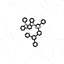 c1ccc(-c2cc(-c3ccccc3)cc(-c3cccc(-c4nc(-c5ccccc5)cc(-n5c6ccccc6c6c5ccc5c7ccccc7n(-c7ccccc7)c56)n4)c3)c2)cc1